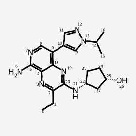 CCc1nc2c(N)ncc(-c3cnn(C(C)C)c3)c2nc1N[C@@H]1CC[C@H](O)C1